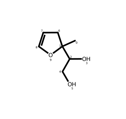 CC1(C(O)CO)CC=CO1